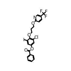 O=C(Oc1cc(Cl)c(OCCCOc2ccc(C(F)(F)F)cn2)c(I)c1)c1ccccc1